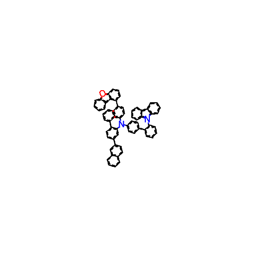 c1ccc(-c2ccc(-c3ccc4ccccc4c3)cc2N(c2ccc(-c3ccccc3-n3c4ccccc4c4ccccc43)cc2)c2ccc(-c3cccc4oc5ccccc5c34)cc2)cc1